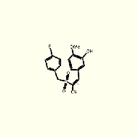 COc1ccc(/C=C(/C#N)S(=O)(=O)Cc2ccc(F)cc2)cc1O